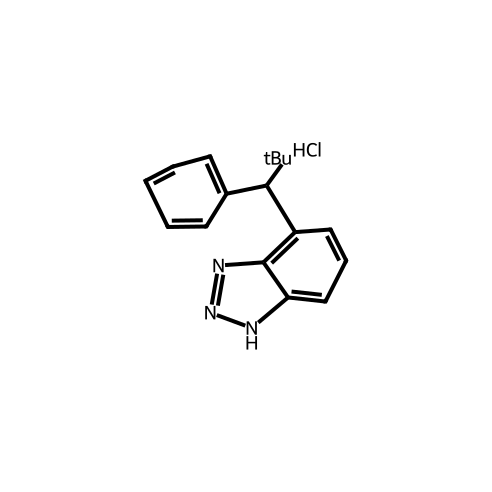 CC(C)(C)C(c1ccccc1)c1cccc2[nH]nnc12.Cl